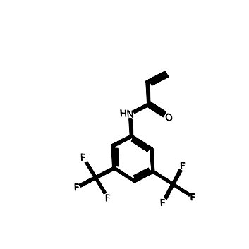 C=CC(=O)Nc1cc(C(F)(F)F)cc(C(F)(F)F)c1